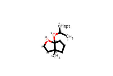 CCCCCCCC(C)OC12CCCC1(C)CCO2